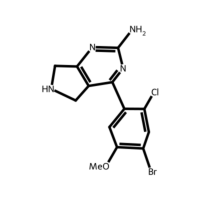 COc1cc(-c2nc(N)nc3c2CNC3)c(Cl)cc1Br